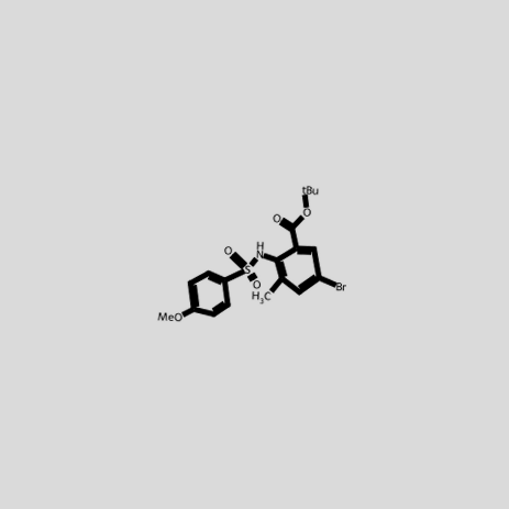 COc1ccc(S(=O)(=O)Nc2c(C)cc(Br)cc2C(=O)OC(C)(C)C)cc1